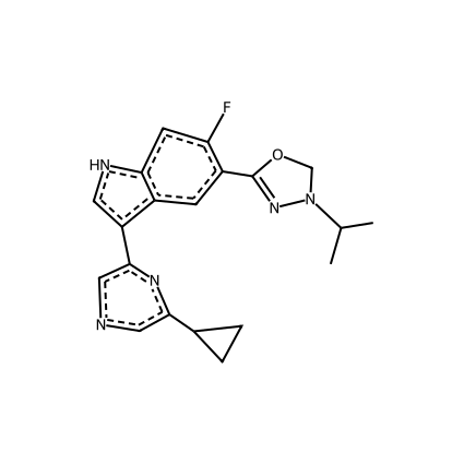 CC(C)N1COC(c2cc3c(-c4cncc(C5CC5)n4)c[nH]c3cc2F)=N1